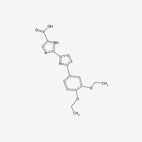 CCOc1ccc(-c2nc(-c3ncc(C(=O)O)[nH]3)cs2)cc1OCC